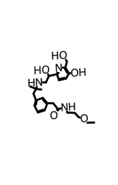 CCOCCCNC(=O)Cc1cccc(CC(C)(C)NCC(O)c2ccc(O)c(CO)n2)c1